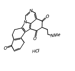 CNCCC1C(=O)c2cncn3c4c(c(c23)C1=O)C1=C(CC4)C(=O)C=CC1.Cl